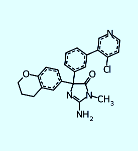 CN1C(=O)C(c2cccc(-c3cnccc3Cl)c2)(c2ccc3c(c2)CCCO3)N=C1N